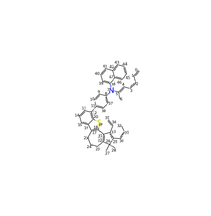 C=C/C=C\C=C(/C)N(c1ccc(-c2cccc3c4c(sc23)C2=C(CCC4)C(C)(C)C(/C=C\C)=C2C=C)cc1)c1cccc2ccccc12